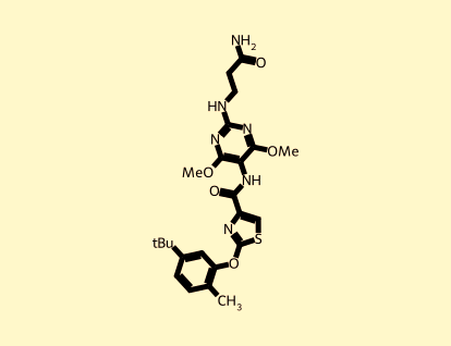 COc1nc(NCCC(N)=O)nc(OC)c1NC(=O)c1csc(Oc2cc(C(C)(C)C)ccc2C)n1